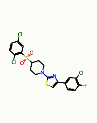 O=S(=O)(c1cc(Cl)ccc1Cl)C1CCN(c2nc(-c3ccc(F)c(Cl)c3)cs2)CC1